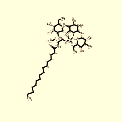 CCCCCCCCCCCCCCCC(=O)N[C@H](CC)COP(=O)(O)O[C@@H]1C(O[C@H]2OC(CO)[C@@H](O)[C@H](O)C2O)C(O)[C@@H](O)[C@H](O)C1O[C@H]1OC(CO)[C@@H](O)C(O)[C@H]1O